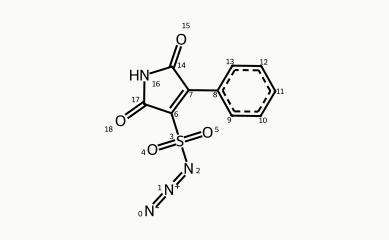 [N-]=[N+]=NS(=O)(=O)C1=C(c2ccccc2)C(=O)NC1=O